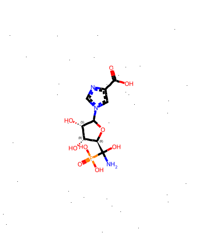 NC(O)([C@@H]1OC(n2cnc(C(=O)O)c2)[C@@H](O)[C@H]1O)P(=O)(O)O